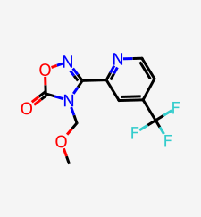 COCn1c(-c2cc(C(F)(F)F)ccn2)noc1=O